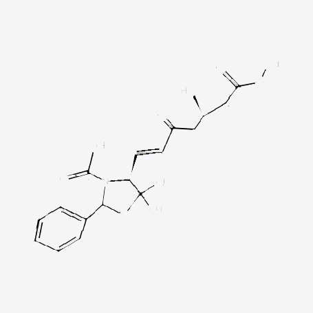 COC(=O)C[C@H](O)CC(=O)/C=C/[C@@H]1N(C(=O)O)C(c2ccccc2)SC1(C)C